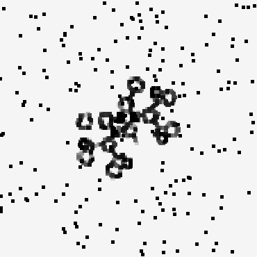 Cc1cc2c3c(c1)N(c1cc(-c4coc5c4C=CCC5)cc(-c4coc5ccccc45)c1)c1cc(-c4ccccc4)ccc1B3c1ccc(-c3ccccc3)cc1N2c1cc(C2=COC3C=CC=CC23)cc(-c2coc3ccccc23)c1